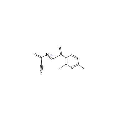 C=C(C#N)/N=C/C(=C)c1ccc(C)nc1C